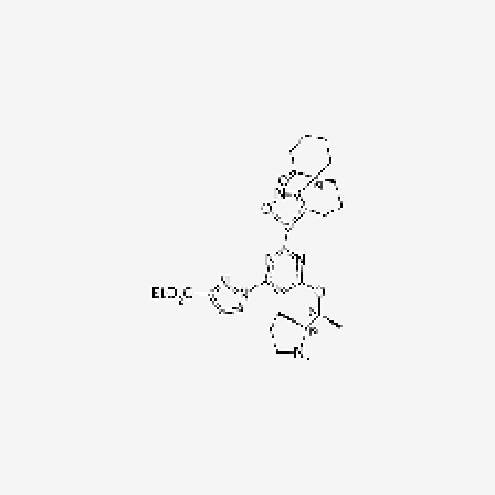 CCOC(=O)c1ccn(-c2cc(O[C@@H](C)[C@@H]3CCCN3C)nc(-c3onc4c3CCC[C@@]43CCCCC3=O)n2)n1